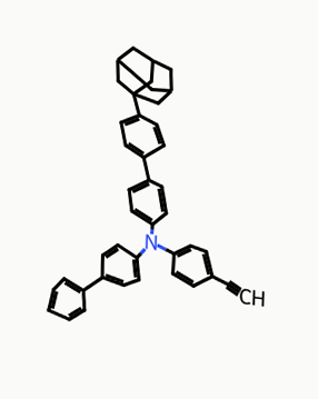 C#Cc1ccc(N(c2ccc(-c3ccccc3)cc2)c2ccc(-c3ccc(C45CC6CC(CC(C6)C4)C5)cc3)cc2)cc1